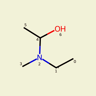 C[CH]N(C)C(C)O